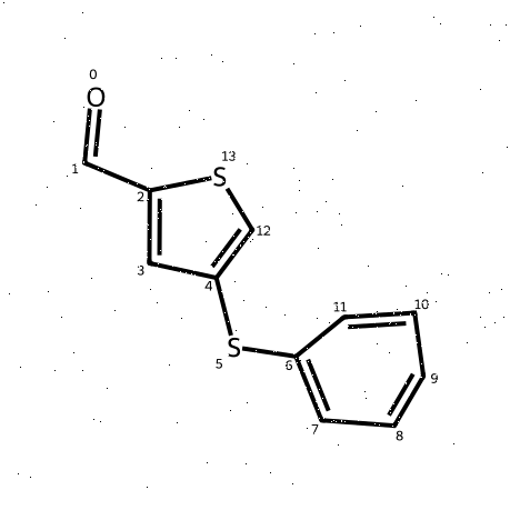 O=Cc1cc(Sc2ccccc2)cs1